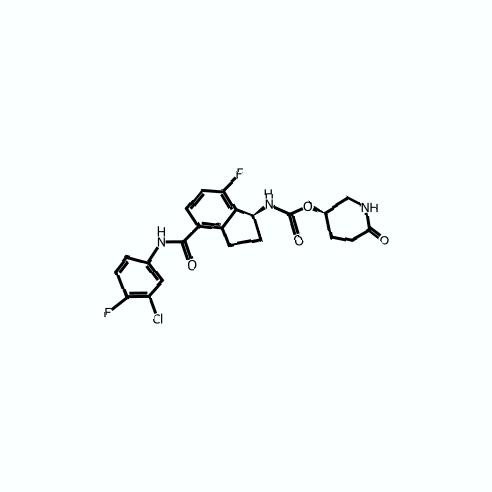 O=C1CC[C@@H](OC(=O)N[C@H]2CCc3c(C(=O)Nc4ccc(F)c(Cl)c4)ccc(F)c32)CN1